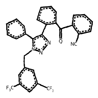 N#Cc1ccccc1C(=O)c1ccccc1-c1nnn(Cc2cc(C(F)(F)F)cc(C(F)(F)F)c2)c1-c1ccccc1